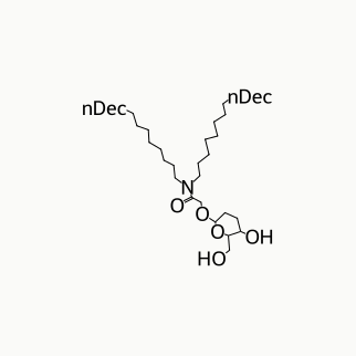 CCCCCCCCCCCCCCCCCCN(CCCCCCCCCCCCCCCCCC)C(=O)COC1CCC(O)C(CO)O1